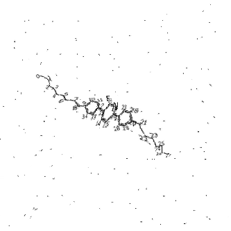 CCCCCCCCCc1ccc(-c2ccc(-c3ccc(CCCCCCC)cc3)nc2F)cc1